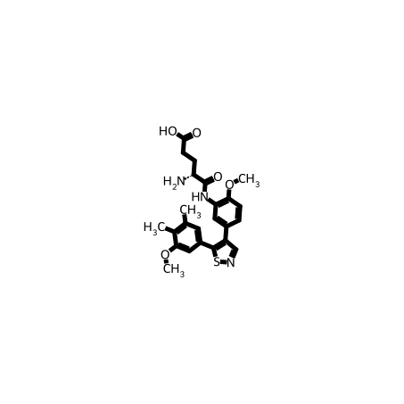 COc1ccc(-c2cnsc2-c2cc(C)c(C)c(OC)c2)cc1NC(=O)[C@H](N)CCC(=O)O